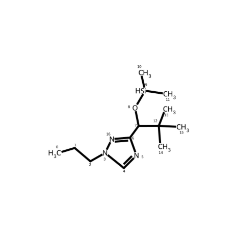 CCCn1cnc(C(O[SiH](C)C)C(C)(C)C)n1